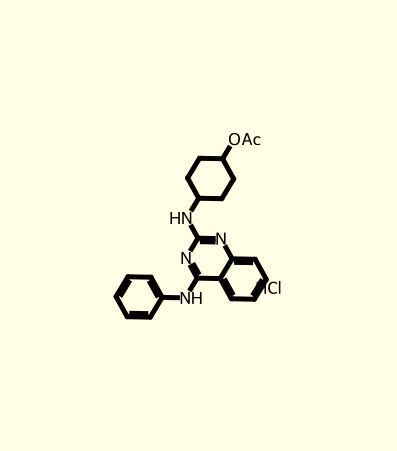 CC(=O)OC1CCC(Nc2nc(Nc3ccccc3)c3ccccc3n2)CC1.Cl